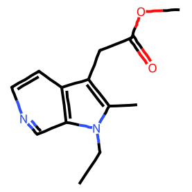 CCn1c(C)c(CC(=O)OC)c2ccncc21